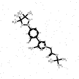 Cc1nn(CC(=O)OC(C)(C)C)cc1-c1ccc(B2OC(C)(C)C(C)(C)O2)cc1F